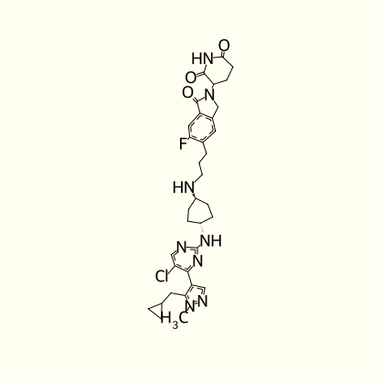 Cn1ncc(-c2nc(N[C@H]3CC[C@H](NCCCc4cc5c(cc4F)C(=O)N(C4CCC(=O)NC4=O)C5)CC3)ncc2Cl)c1CC1CC1